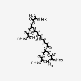 CCCCCCC(C)C(=O)OCC(COC(=O)C(C)CCCCCC)OC(=O)CCCNCCCC(=O)OC(COC(=O)C(C)CCCCCC)COC(=O)C(C)CCCCCC